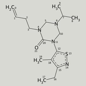 C=CCCN1CN(C(C)C)CN(c2snc(CC)c2C)C1=O